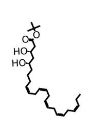 CC/C=C\C/C=C\C/C=C\C/C=C\C/C=C\CCC[C@@H](O)C[C@@H](O)CC(=O)OC(C)(C)C